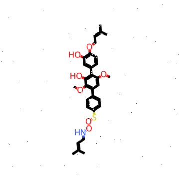 COc1cc(-c2ccc(SOONCC=C(C)C)cc2)c(OC)c(O)c1-c1ccc(OCC=C(C)C)c(O)c1